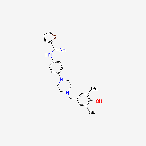 CC(C)(C)c1cc(CN2CCN(c3ccc(NC(=N)c4cccs4)cc3)CC2)cc(C(C)(C)C)c1O